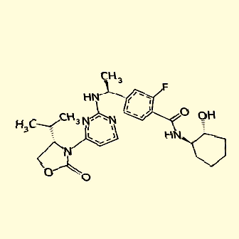 CC(C)[C@H]1COC(=O)N1c1ccnc(N[C@@H](C)c2ccc(C(=O)N[C@@H]3CCCC[C@H]3O)c(F)c2)n1